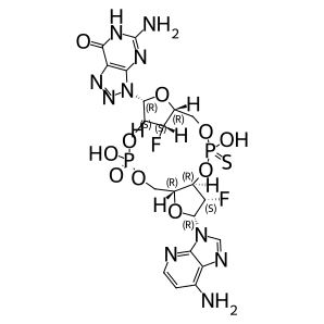 Nc1nc2c(nnn2[C@@H]2O[C@@H]3COP(O)(=S)O[C@H]4[C@H](F)[C@H](n5cnc6c(N)ccnc65)O[C@@H]4COP(=O)(O)O[C@@H]2[C@H]3F)c(=O)[nH]1